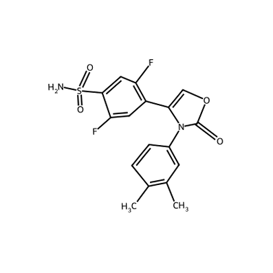 Cc1ccc(-n2c(-c3cc(F)c(S(N)(=O)=O)cc3F)coc2=O)cc1C